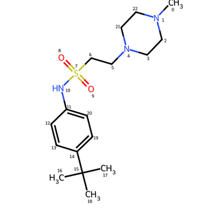 CN1CCN(CCS(=O)(=O)Nc2ccc(C(C)(C)C)cc2)CC1